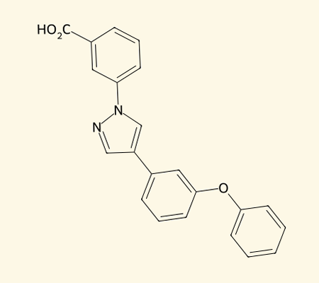 O=C(O)c1cccc(-n2cc(-c3cccc(Oc4ccccc4)c3)cn2)c1